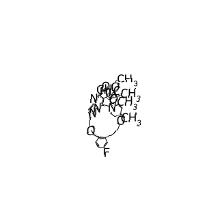 CCOC(=O)[C@@H](OC(C)(C)C)c1c(C)nc2cc3nn2c1N1CCC(C)(CC1)OCCCc1cc(F)ccc1COC3